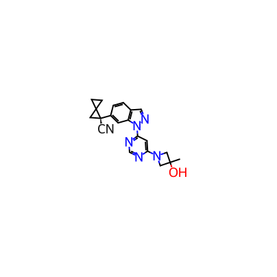 CC1(O)CN(c2cc(-n3ncc4ccc([C@]5(C#N)CC56CC6)cc43)ncn2)C1